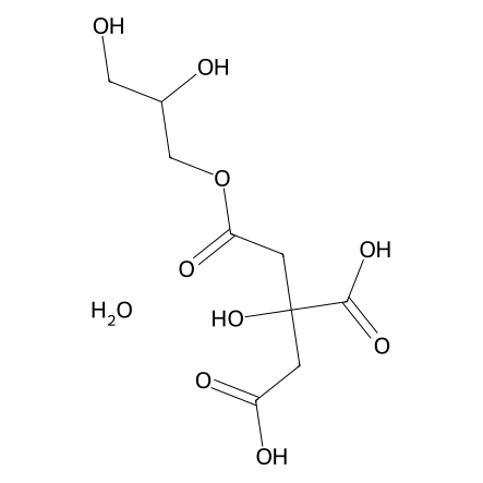 O.O=C(O)CC(O)(CC(=O)OCC(O)CO)C(=O)O